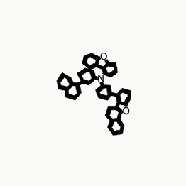 c1cc(-c2cccc3ccccc23)cc(N(c2cccc(-c3cccc4oc5c6ccccc6ccc5c34)c2)c2cccc3oc4ccccc4c23)c1